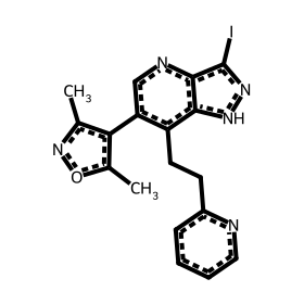 Cc1noc(C)c1-c1cnc2c(I)n[nH]c2c1CCc1ccccn1